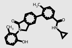 Cc1ccc(C(=O)NC2CC2)cc1-c1ccc2c(c1)CN(c1c(C)cccc1O)C2=O